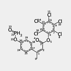 CC(=CC(=O)Oc1c(Cl)c(Cl)c(Cl)c(Cl)c1Cl)c1ccc(O[PH2]=O)cc1